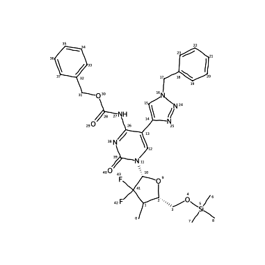 CC1[C@@H](CO[Si](C)(C)C)O[C@@H](n2cc(-c3cn(Cc4ccccc4)nn3)c(NC(=O)OCc3ccccc3)nc2=O)C1(F)F